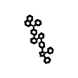 c1ccc(-c2nnc(-c3ccc(-c4ccccc4-c4ccccc4-c4ccc(N(c5ccccc5)c5cccc6ccccc56)cc4)cc3)n2-c2ccccc2)cc1